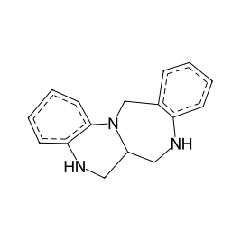 c1ccc2c(c1)CN1c3ccccc3NCC1CN2